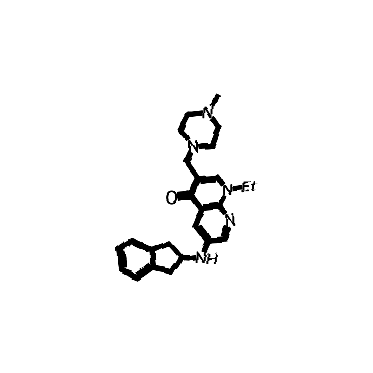 CCn1cc(CN2CCN(C)CC2)c(=O)c2cc(NC3Cc4ccccc4C3)cnc21